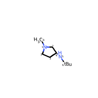 CN1CC[C@@H](NC(C)(C)C)C1